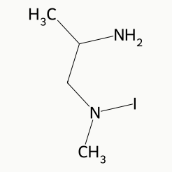 CC(N)CN(C)I